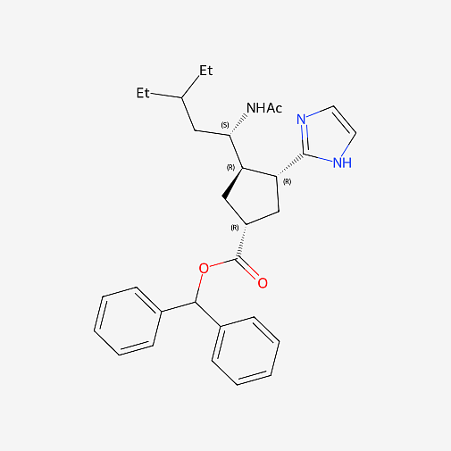 CCC(CC)C[C@H](NC(C)=O)[C@@H]1C[C@@H](C(=O)OC(c2ccccc2)c2ccccc2)C[C@H]1c1ncc[nH]1